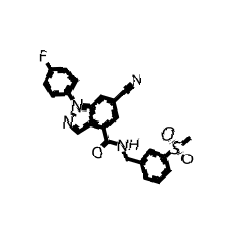 CS(=O)(=O)c1cccc(CNC(=O)c2cc(C#N)cc3c2cnn3-c2ccc(F)cc2)c1